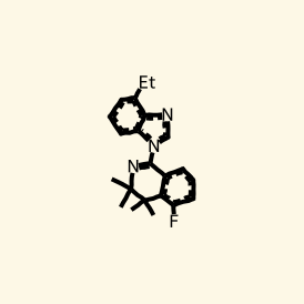 CCc1cccc2c1ncn2C1=NC(C)(C)C(C)(C)c2c(F)cccc21